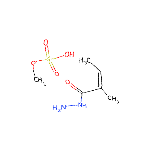 CC=C(C)C(=O)NN.COS(=O)(=O)O